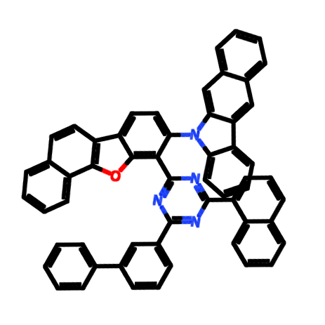 c1ccc(-c2cccc(-c3nc(-c4cccc5ccccc45)nc(-c4c(-n5c6ccccc6c6cc7ccccc7cc65)ccc5c4oc4c6ccccc6ccc54)n3)c2)cc1